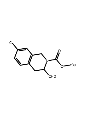 CC(C)(C)OC(=O)N1Cc2cc(Cl)ccc2CC1C=O